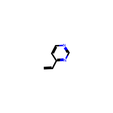 C=Cc1ccncn1